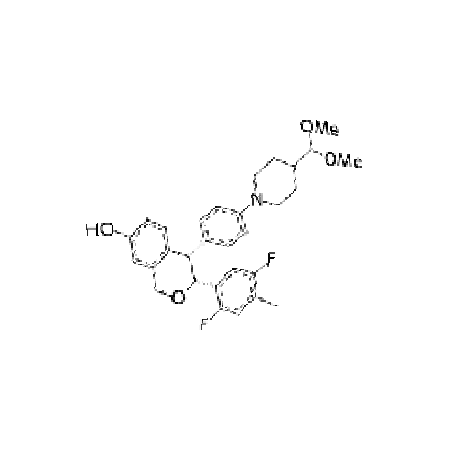 COC(OC)C1CCN(c2ccc([C@H]3c4ccc(O)cc4CO[C@H]3c3cc(F)c(C)cc3F)cc2)CC1